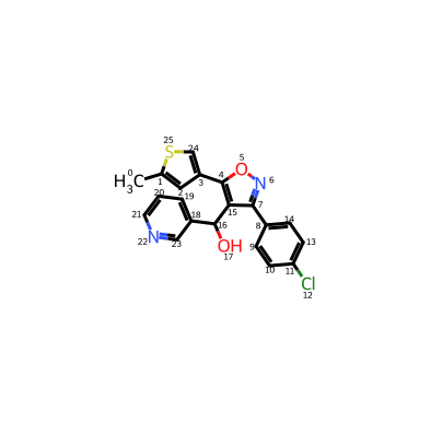 Cc1cc(-c2onc(-c3ccc(Cl)cc3)c2C(O)c2cccnc2)cs1